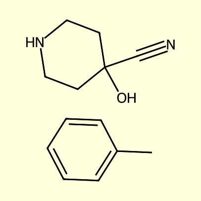 Cc1ccccc1.N#CC1(O)CCNCC1